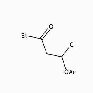 CCC(=O)CC(Cl)OC(C)=O